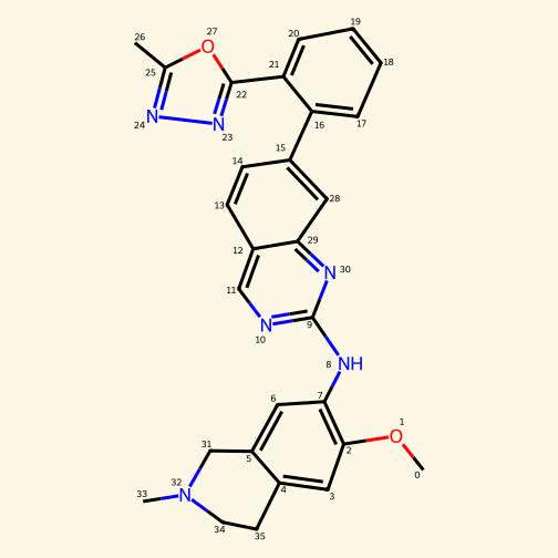 COc1cc2c(cc1Nc1ncc3ccc(-c4ccccc4-c4nnc(C)o4)cc3n1)CN(C)CC2